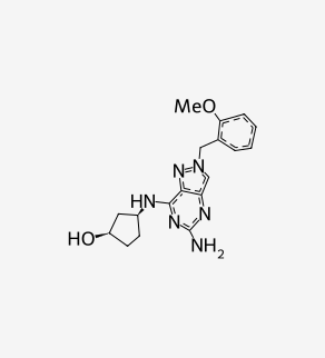 COc1ccccc1Cn1cc2nc(N)nc(N[C@H]3CC[C@@H](O)C3)c2n1